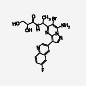 CC(NC(=O)[C@@H](O)CO)c1nc2c(-c3cnc4ccc(F)cc4c3)cnn2c(N)c1Br